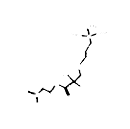 CCN(C)CCOC(=O)C(C)(C)CSCCC[Si](OC)(OC)OC